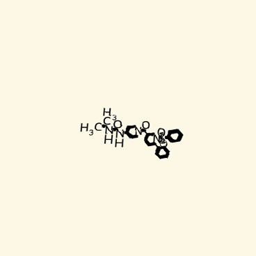 CC(C)NC(=O)NC1CCN(C(=O)[C@@H]2CC[C@H](c3ccccc3)N(S(=O)(=O)c3ccccc3)C2)CC1